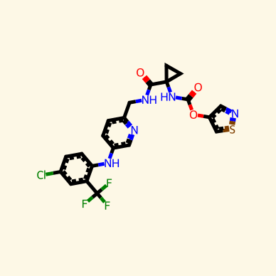 O=C(NC1(C(=O)NCc2ccc(Nc3ccc(Cl)cc3C(F)(F)F)cn2)CC1)Oc1cnsc1